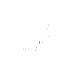 CC(C)(C)OC(=O)N[C@@H](CNC(=O)C(=O)Nc1ccc(Cl)cn1)C(C)(C)O